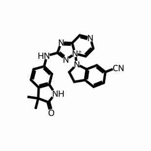 CC1(C)C(=O)Nc2cc(NC3=N[N+]4(N5CCc6ccc(C#N)cc65)C=CN=CC4=N3)ccc21